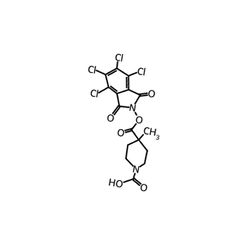 CC1(C(=O)ON2C(=O)c3c(Cl)c(Cl)c(Cl)c(Cl)c3C2=O)CCN(C(=O)O)CC1